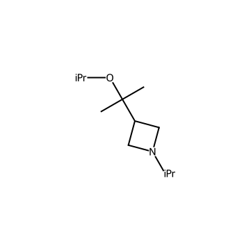 CC(C)OC(C)(C)C1CN(C(C)C)C1